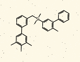 Cc1ccc([Si](C)(C)Cc2cccc(-c3cc(C)c(C)c(C)c3)c2)cc1-c1ccccc1